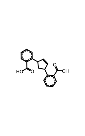 O=C(O)c1ccccc1C1C=CC(c2ccccc2C(=O)O)C1